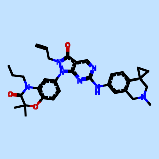 C=CCn1c(=O)c2cnc(Nc3ccc4c(c3)CN(C)CC43CC3)nc2n1-c1ccc2c(c1)N(CCC)C(=O)C(C)(C)O2